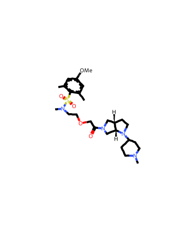 COc1cc(C)c(S(=O)(=O)N(C)CCOCC(=O)N2C[C@@H]3CCN(C4CCN(C)CC4)[C@@H]3C2)c(C)c1